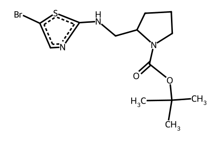 CC(C)(C)OC(=O)N1CCCC1CNc1ncc(Br)s1